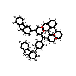 c1ccc(-c2cccc3cccc(-c4ccccc4N(c4ccc(-c5cccc6sc7ccccc7c56)cc4)c4cccc(-c5ccc6oc7ccccc7c6c5)c4)c23)cc1